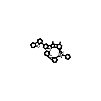 CC1C=CC2(C)C3=C1C(C)c1c(n(c4ccc(-c5cccc6c5oc5ccccc56)cc14)-c1cccc4c1oc1c(cccc14)-c1nc(-c4ccccc4)nc2n1)C3C